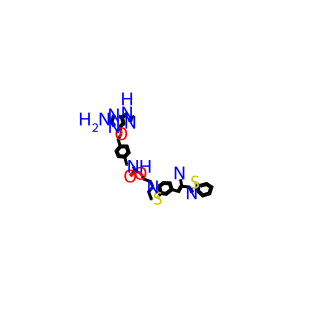 N#C/C(=C\c1ccc2c(c1)SCCN2CCOC(=O)NCc1ccc(COc2nc(N)nc3[nH]cnc23)cc1)c1nc2ccccc2s1